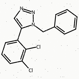 Clc1cccc(-c2cnnn2Cc2ccccc2)c1Cl